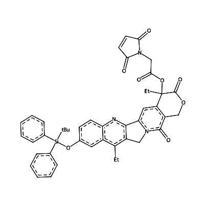 CCc1c2c(nc3ccc(O[Si](c4ccccc4)(c4ccccc4)C(C)(C)C)cc13)-c1cc3c(c(=O)n1C2)COC(=O)C3(CC)OC(=O)CN1C(=O)C=CC1=O